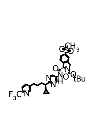 CC(C)(C)OC(=O)N1Cc2cc(S(C)(=O)=O)ccc2[C@@H]1C(=O)Nc1cnc(C(CCCc2ccc(C(F)(F)F)nc2)C2CC2)nc1